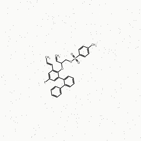 C=CC(COS(=O)(=O)c1ccc(C)cc1)Oc1c(C=CC)cc(F)cc1-c1ccccc1-c1ccccc1